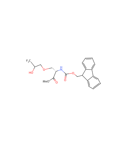 COC(=O)[C@H](COCC(O)C(F)(F)F)NC(=O)OCC1c2ccccc2-c2ccccc21